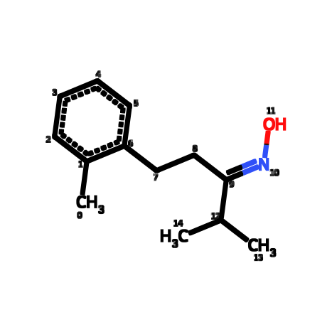 Cc1ccccc1CC/C(=N\O)C(C)C